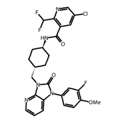 COc1ccc(-n2c(=O)n(C[C@H]3CC[C@H](NC(=O)c4cc(Cl)cnc4C(F)F)CC3)c3ncccc32)cc1F